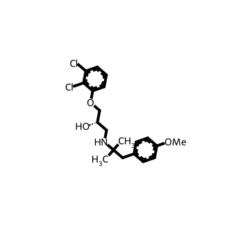 COc1ccc(CC(C)(C)NC[C@H](O)COc2cccc(Cl)c2Cl)cc1